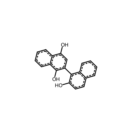 Oc1ccc2ccccc2c1-c1cc(O)c2ccccc2c1O